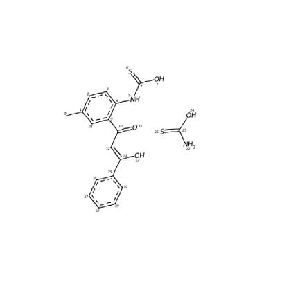 Cc1ccc(NC(O)=S)c(C(=O)C=C(O)c2ccccc2)c1.NC(O)=S